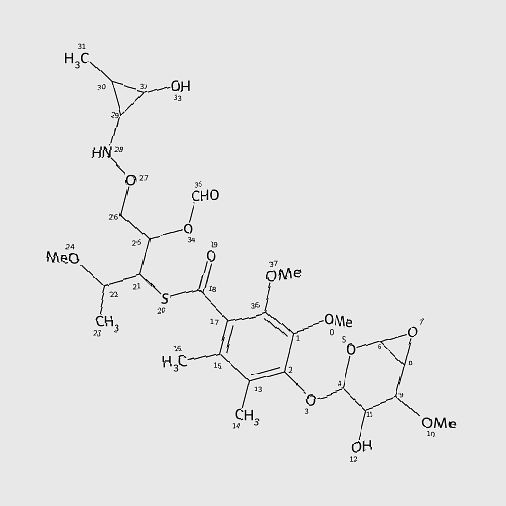 COc1c(OC2OC3OC3C(OC)C2O)c(C)c(C)c(C(=O)SC(C(C)OC)C(CONC2C(C)C2O)OC=O)c1OC